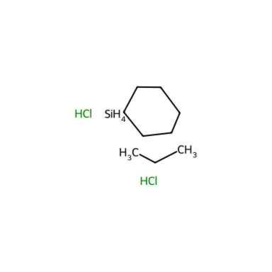 C1CCCCC1.CCC.Cl.Cl.[SiH4]